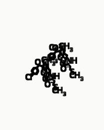 CSCC[C@H](NC(=O)Cc1cc(C)c(C(=O)c2ccc(Cl)cc2)n1C)C(=O)[O-].CSCC[C@H](NC(=O)Cc1cc(C)c(C(=O)c2ccc(Cl)cc2)n1C)C(=O)[O-].[Ca+2]